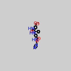 COC(=O)c1ccc2c(c1)NC(=O)/C2=C(\Nc1ccc(C(=O)NOCCN2CCN(C)CC2)cc1)c1ccccc1